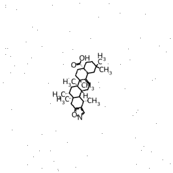 C[C@@H]1c2cnoc2C[C@]2(C)C1[C@H]1CC=C3C4CC(C)(C)CC[C@]4(C(=O)O)CC[C@@]3(C)[C@]1(C)C[C@H]2C